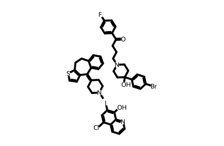 CN1CCC(=C2c3ccccc3CCc3sccc32)CC1.O=C(CCCN1CCC(O)(c2ccc(Br)cc2)CC1)c1ccc(F)cc1.Oc1c(I)cc(Cl)c2cccnc12